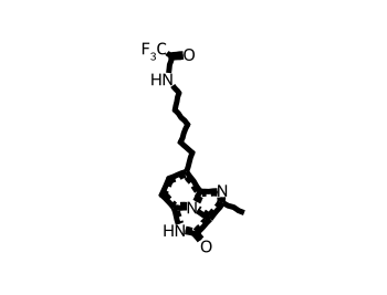 Cc1nc2c(CCCCCNC(=O)C(F)(F)F)ccc3[nH]c(=O)c1n32